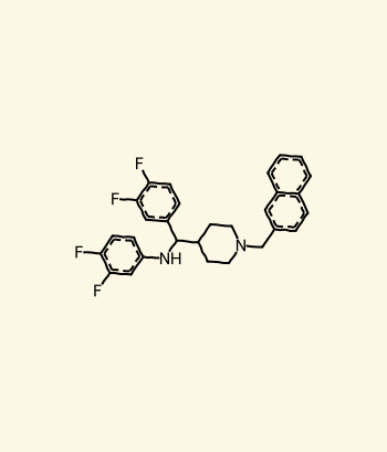 Fc1ccc(NC(c2ccc(F)c(F)c2)C2CCN(Cc3ccc4ccccc4c3)CC2)cc1F